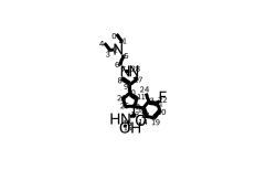 CCN(CC)CCn1cc(C2=C[C@](C(=O)NO)(c3cccc(F)c3C)CC2)cn1